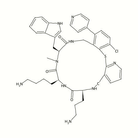 CN1C(=O)[C@H](CCCCN)NC(=O)[C@H](CCCN)NCc2cccnc2Sc2c(Cl)ccc(-c3ccncc3)c2CNC(=O)[C@@H]1Cc1c[nH]c2ccccc12